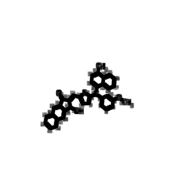 COc1cccc(N(c2ccc(/C=C3/C(=O)c4cc5ccccc5cc4C3O)s2)c2ccc(C)c3ccccc23)c1